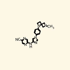 CN1CC2(CCN2c2ccc(-n3cnc(Nc4cnc(C#N)cn4)c3)cc2)C1